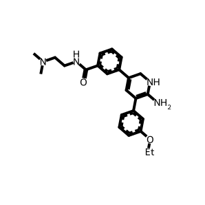 CCOc1cccc(C2=C(N)NCC(c3cccc(C(=O)NCCN(C)C)c3)=C2)c1